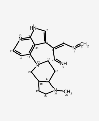 C=N/C=C(\C=N)c1c[nH]c2nccc(N3CCC4C(CCN4C)C3)c12